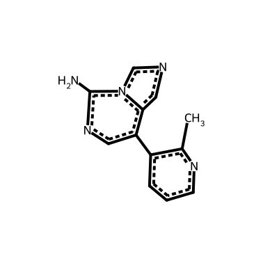 Cc1ncccc1-c1cnc(N)n2cncc12